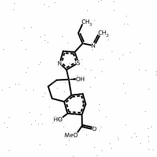 C=N/C(=C\C)c1cnc([C@@]2(O)CCCc3c2ccc(C(=O)OC)c3O)s1